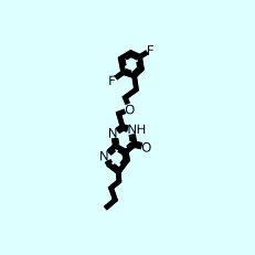 CCCCc1cnc2nc(COCCc3cc(F)ccc3F)[nH]c(=O)c2c1